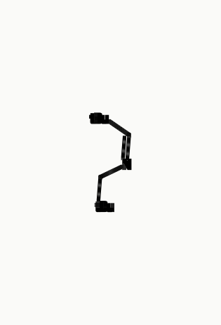 CC(C)(C)/C=N\CC(C)(C)C